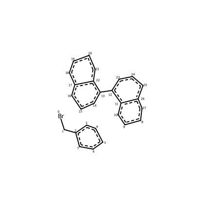 BrCc1ccccc1.c1ccc2c(-c3cccc4ccccc34)cccc2c1